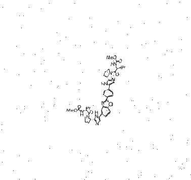 COC(=O)N[C@H](C(=O)N1CCC[C@H]1c1ncc(-c2ccc(-c3nc4cc(-c5cnc([C@@H]6CCCN6C(=O)[C@@H](NC(=O)OC)C(C)C)[nH]5)ccc4o3)cc2)[nH]1)C(C)C